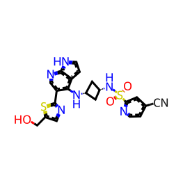 N#Cc1ccnc(S(=O)(=O)N[C@H]2C[C@@H](Nc3c(-c4ncc(CO)s4)cnc4[nH]ccc34)C2)c1